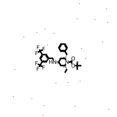 CC[C@@H]1C[C@H](NCc2cc(C(F)(F)F)cc(C(F)(F)F)c2)C[C@H](Cc2ccccc2)N1C(=O)OC(C)(C)C